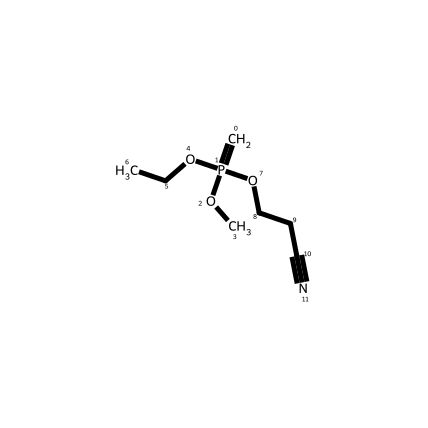 C=P(OC)(OCC)OCCC#N